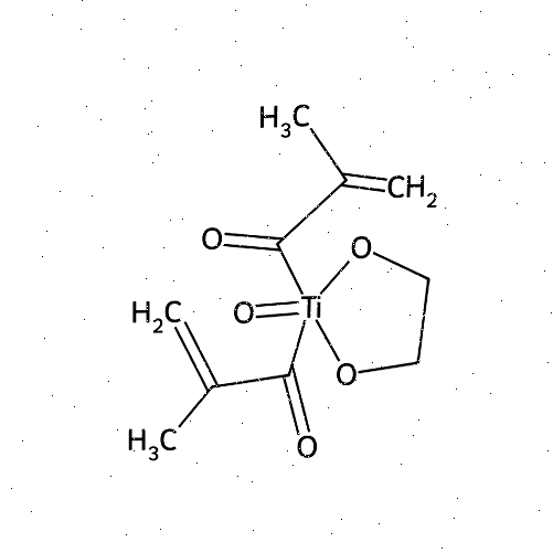 C=C(C)[C](=O)[Ti]1(=[O])([C](=O)C(=C)C)[O]CC[O]1